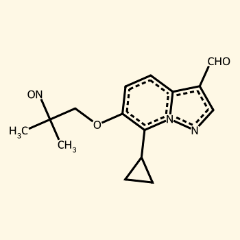 CC(C)(COc1ccc2c(C=O)cnn2c1C1CC1)N=O